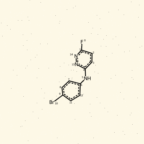 Fc1ccc(Nc2ccc(Br)cc2)nn1